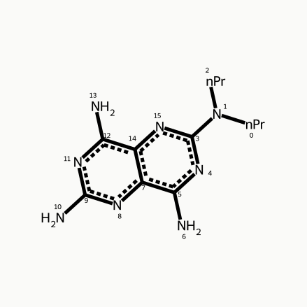 CCCN(CCC)c1nc(N)c2nc(N)nc(N)c2n1